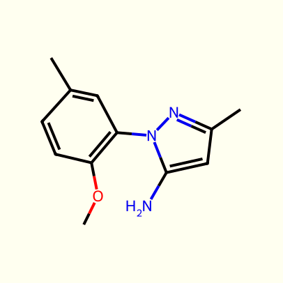 COc1ccc(C)cc1-n1nc(C)cc1N